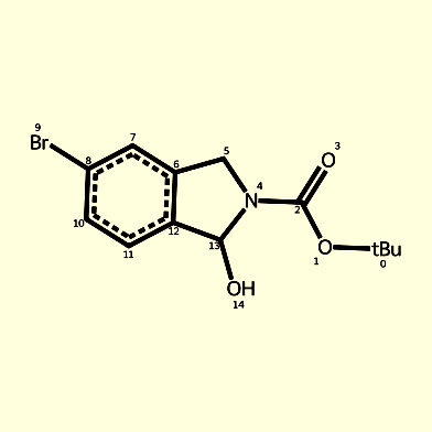 CC(C)(C)OC(=O)N1Cc2cc(Br)ccc2C1O